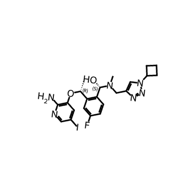 C[C@@H](Oc1cc(I)cnc1N)c1cc(F)ccc1[C@H](O)N(C)Cc1cn(C2CCC2)nn1